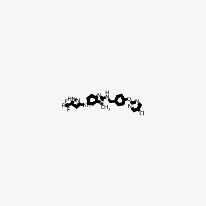 Cn1c(NCc2ccc(Oc3ncc(Cl)cn3)cc2)nc2ccc(Nc3cc(C(F)(F)F)[nH]n3)cc21